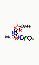 COC(=O)C(=O)c1occ2nc(OC)c(C(=O)N3CCC(F)(Cc4ccc(F)cc4)CC3)cc12